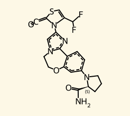 NC(=O)[C@@H]1CCCN1c1ccc2c(c1)OCCn1cc(N3C(=C=O)SC=C3C(F)F)nc1-2